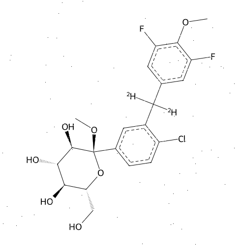 [2H]C([2H])(c1cc(F)c(OC)c(F)c1)c1cc([C@]2(OC)O[C@H](CO)[C@@H](O)[C@H](O)[C@H]2O)ccc1Cl